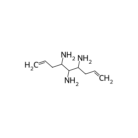 C=CCC(N)C(N)C(N)CC=C